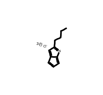 CCCCC1=NC2=CC=CC2=C1.[Cl-].[Cl-].[Zr+2]